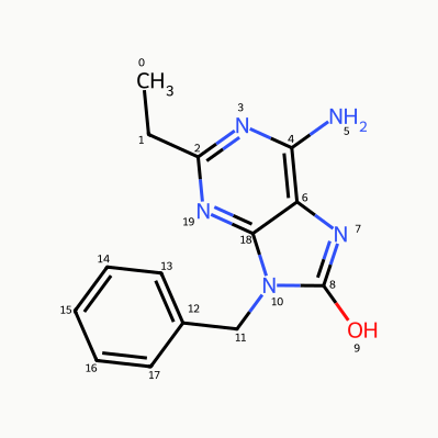 CCc1nc(N)c2nc(O)n(Cc3ccccc3)c2n1